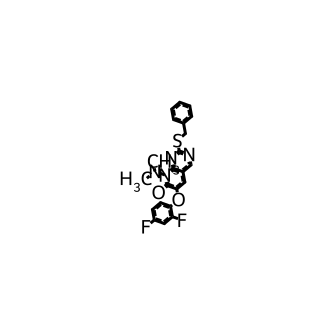 CN(C)n1c(=O)c(Oc2ccc(F)cc2F)cc2cnc(SCc3ccccc3)nc21